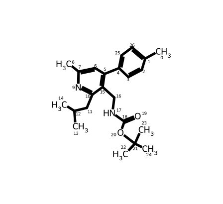 Cc1ccc(-c2[c]c(C)nc(CC(C)C)c2CNC(=O)OC(C)(C)C)cc1